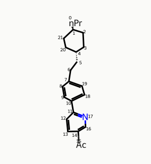 CCC[C@H]1CC[C@H](CCc2ccc(-c3ccc(C(C)=O)cn3)cc2)CC1